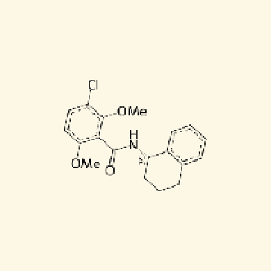 COc1ccc(Cl)c(OC)c1C(=O)N[C@H]1CCCc2ccccc21